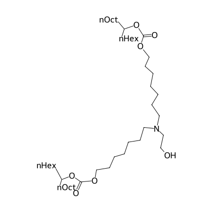 CCCCCCCCC(CCCCCC)OC(=O)OCCCCCCCN(CCO)CCCCCCCOC(=O)OC(CCCCCC)CCCCCCCC